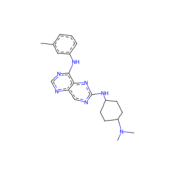 Cc1cccc(Nc2ncnc3cnc(NC4CCC(N(C)C)CC4)nc23)c1